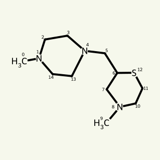 CN1CCN(CC2CN(C)CCS2)CC1